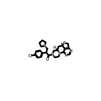 O=C(C(CN1CCCC1)c1ccc(Cl)cc1)N1CCN2c3ncnc4c3[C@@H](C[C@H]2C1)SC4